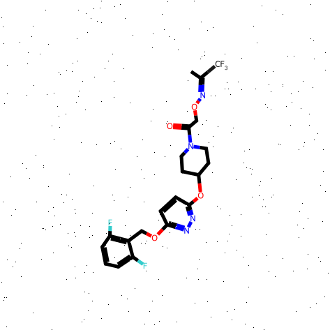 CC(=NOCC(=O)N1CCC(Oc2ccc(OCc3c(F)cccc3F)nn2)CC1)C(F)(F)F